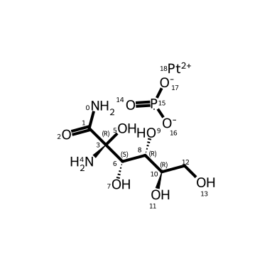 NC(=O)[C@](N)(O)[C@@H](O)[C@H](O)[C@H](O)CO.O=[P]([O-])[O-].[Pt+2]